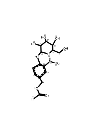 CCC(=O)OCc1ccc(OC2OC(CO)C(O)C(O)C2O)c(NC(C)(C)C)c1